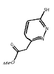 COC(=O)Cc1ccc(S)nn1